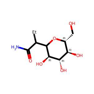 CCC(C(N)=O)C1O[C@H](CO)[C@@H](O)[C@H](O)[C@H]1O